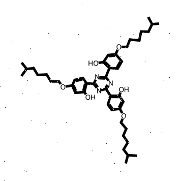 CC(C)CCCCCOc1ccc(-c2nc(-c3ccc(OCCCCCC(C)C)cc3O)nc(-c3ccc(OCCCCCC(C)C)cc3O)n2)c(O)c1